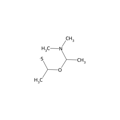 CC([S])OC(C)N(C)C